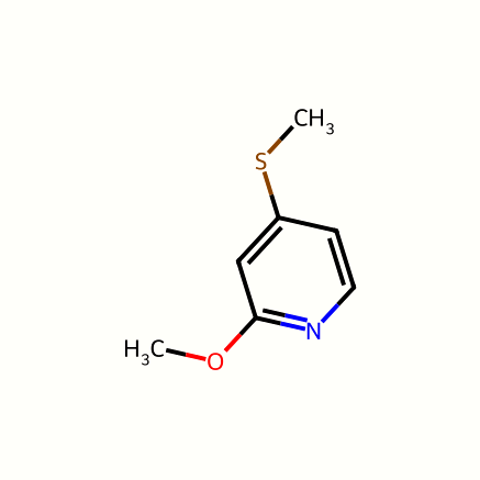 COc1cc(SC)ccn1